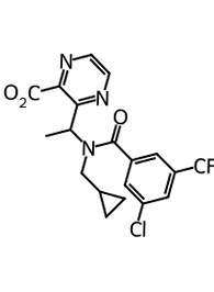 CC(c1nccnc1C(=O)O)N(CC1CC1)C(=O)c1cc(Cl)cc(C(F)(F)F)c1